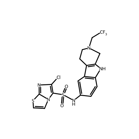 O=S(=O)(Nc1ccc2[nH]c3c(c2c1)CCN(CC(F)(F)F)C3)c1c(Cl)nc2sccn12